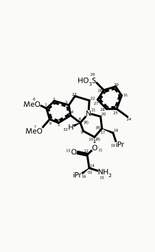 COc1cc2c(cc1OC)[C@H]1C[C@@H](OC(=O)[C@@H](N)C(C)C)[C@H](CC(C)C)CN1CC2.Cc1ccc(S(=O)(=O)O)cc1